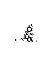 CCOC(=O)c1ccc(O)cc1N(C(=O)[C@H]1CC[C@H](C)CC1)C(C)C